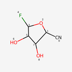 N#CC1OC(F)C(O)C1O